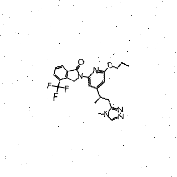 CCCOc1cc([C@H](C)Cc2nncn2C)cc(N2Cc3c(cccc3C(F)(F)F)C2=O)n1